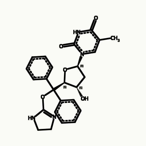 Cc1cn([C@H]2C[C@H](O)[C@@H](C(OC3=NCCN3)(c3ccccc3)c3ccccc3)O2)c(=O)[nH]c1=O